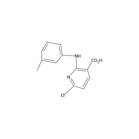 Cc1cccc(Nc2nc(Cl)ccc2C(=O)O)c1